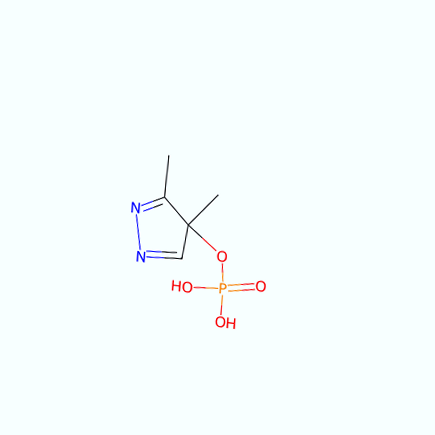 CC1=NN=CC1(C)OP(=O)(O)O